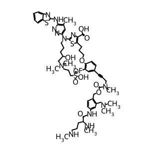 CNCCCC(NC)C(=O)Nc1ccc(COC(=O)N(C)CC#Cc2ccc(OCCCc3sc(N(CCCC(O)C[N+](C)(C)CCCS(=O)(=O)O)c4cc(C)c(Nc5nc6ccccc6s5)nn4)nc3C(=O)O)c(F)c2)c(CN(C)C)c1